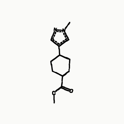 COC(=O)C1CCC(c2cnn(C)c2)CC1